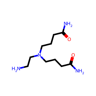 NCCN(CCCC(N)=O)CCCC(N)=O